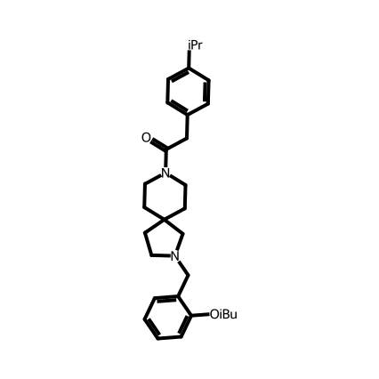 CC(C)COc1ccccc1CN1CCC2(CCN(C(=O)Cc3ccc(C(C)C)cc3)CC2)C1